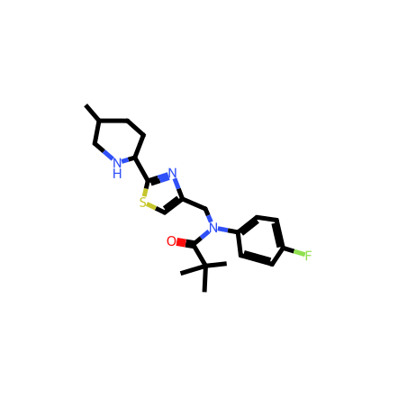 CC1CCC(c2nc(CN(C(=O)C(C)(C)C)c3ccc(F)cc3)cs2)NC1